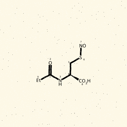 CCC(=O)N[C@@H](CSN=O)C(=O)O